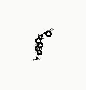 CCCC(=O)O[C@H]1CC[C@H]2[C@@H]3CC=C4c5sc(Nc6cccc(O)c6)nc5CC[C@]4(C)[C@H]3CC[C@]12C